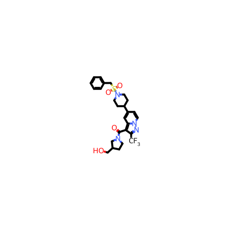 O=C(c1c(C(F)(F)F)nn2ccc(C3CCN(S(=O)(=O)Cc4ccccc4)CC3)cc12)N1CCC(CO)C1